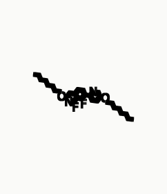 CCCCCCCCOc1ccc(-c2ccc3cc(OCCCCCCCC)nc(F)c3c2F)nc1